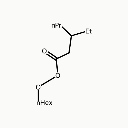 CCCCCCOOC(=O)CC(CC)CCC